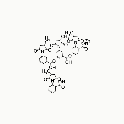 CC1=CC(=O)N(c2cccc(C(=O)O)c2)C1=O.CC1=CC(=O)N(c2cccc(C(=O)O)c2)C1=O.CC1=CC(=O)N(c2ccccc2C(=O)O)C1=O.CC1=CC(=O)N(c2ccccc2C(=O)O)C1=O.[Zn]